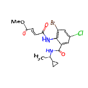 COC(=O)/C=C/C(=O)Nc1c(Br)cc(Cl)cc1C(=O)NC(C)C1CC1